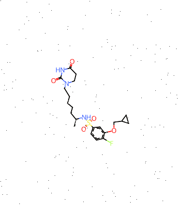 C[C@@H](CCCCCN1CCC(=O)NC1=O)NS(=O)(=O)c1ccc(F)c(OCC2CC2)c1